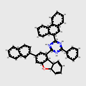 C1=CC2Oc3cc(-c4ccc5ccccc5c4)cc(-c4nc(-c5ccccc5)nc(-c5cc6ccccc6c6ccccc56)n4)c3C2C=C1